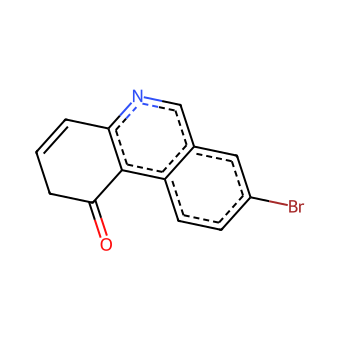 O=C1CC=Cc2ncc3cc(Br)ccc3c21